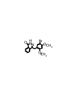 COc1cc(OC)c(Cc2n[nH]c(=O)c3ccccc23)cc1Br